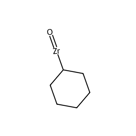 [O]=[Zr][CH]1CCCCC1